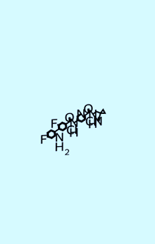 N#CC1(CNC(=O)c2ncc(NC(=O)c3cc(F)c(-c4ccc(F)cc4N)cc3Cl)cc2Cl)CC1